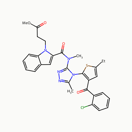 CCc1cc(C(=O)c2ccccc2Cl)c(-n2c(C)nnc2N(C)C(=O)c2cc3ccccc3n2CCC(=O)OC)s1